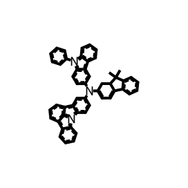 CC1(C)c2ccccc2C2=CC=C(N(c3ccc4c(c3)c3ccccc3n4-c3ccccc3)c3ccc4c(c3)c3cccc5c6ccccc6n4c53)CC21